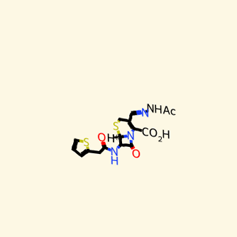 CC(=O)NN=CC1=C(C(=O)O)N2C(=O)C(NC(=O)Cc3cccs3)[C@@H]2SC1